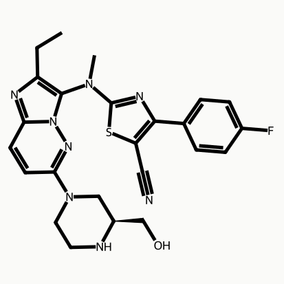 CCc1nc2ccc(N3CCN[C@H](CO)C3)nn2c1N(C)c1nc(-c2ccc(F)cc2)c(C#N)s1